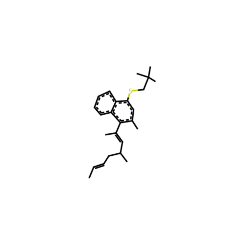 C/C=C/CC(C)/C=C(\C)c1c(C)cc(SCC(C)(C)C)c2ccccc12